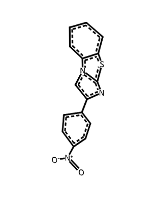 O=[N+]([O-])c1ccc(-c2cn3c(n2)sc2ccccc23)cc1